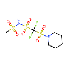 CS(=O)(=O)NS(=O)(=O)C(F)(F)S(=O)(=O)N1CCCCC1